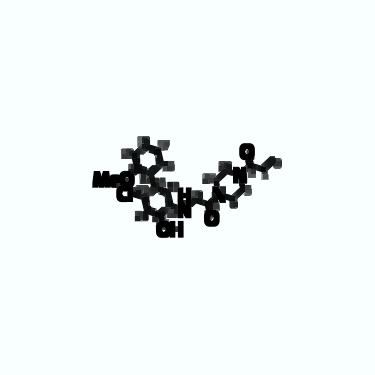 C=CC(=O)N1CCN(C(=O)CNc2cc(-c3ccccc3OC)c(Cl)cc2O)CC1